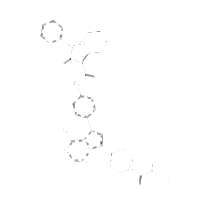 C=C(C(C)C)N1CCC(c2cc(-c3ccc(NC(=O)C4=C5CCCCN5N(c5ccccn5)C4=C)cc3)c3c(N)ncnn23)CC1